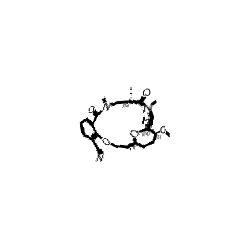 CO[C@H]1CC[C@H]2CCOc3c(C#N)cccc3C(=O)N(C)C[C@H](C)C(=O)N(C)C[C@H]1O2